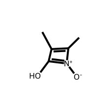 CC1=C(C)[N+]([O-])=C1O